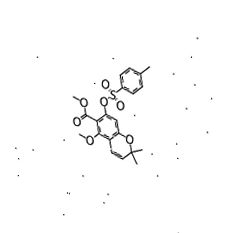 COC(=O)c1c(OS(=O)(=O)c2ccc(C)cc2)cc2c(c1OC)C=CC(C)(C)O2